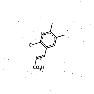 Cc1cc(/C=C/C(=O)O)c(Cl)nc1C